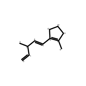 C=CC(C)C=CC1=C(C)CCC1